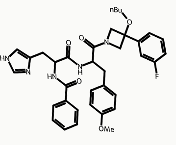 CCCCOC1(c2cccc(F)c2)CN(C(=O)C(Cc2ccc(OC)cc2)NC(=O)C(Cc2c[nH]cn2)NC(=O)c2ccccc2)C1